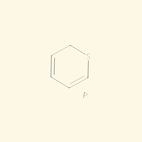 C1=CCSC=C1.[P]